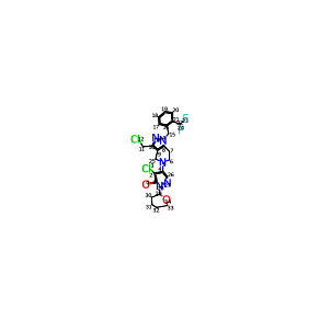 O=c1c(Cl)c(N2CCc3c(c(CCl)nn3Cc3ccccc3C(F)F)C2)cnn1C1CCCCO1